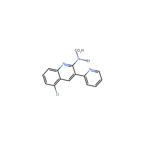 CCN(C(=O)O)c1nc2cccc(Cl)c2cc1-c1ccccn1